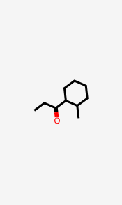 CCC(=O)C1CCCCC1C